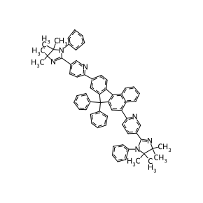 CC1(C)N=C(c2ccc(-c3ccc4c(c3)C(c3ccccc3)(c3ccccc3)c3cc(-c5ccc(C6=NC(C)(C)C(C)(C)N6c6ccccc6)cn5)c5ccccc5c3-4)nc2)N(c2ccccc2)C1(C)C